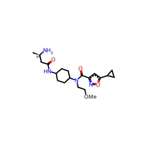 COCCN(C(=O)c1cc(C2CC2)on1)C1CCC(NC(=O)C[C@@H](C)N)CC1